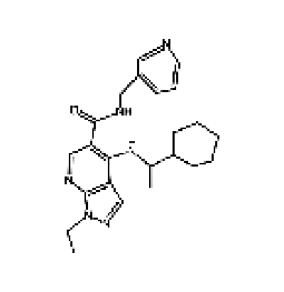 CCn1ncc2c(NC(C)C3CCCCC3)c(C(=O)NCc3cccnc3)cnc21